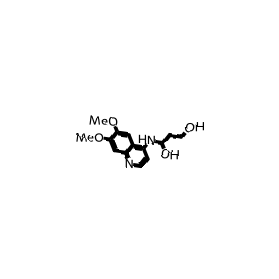 COc1cc2nccc(NC(O)CCO)c2cc1OC